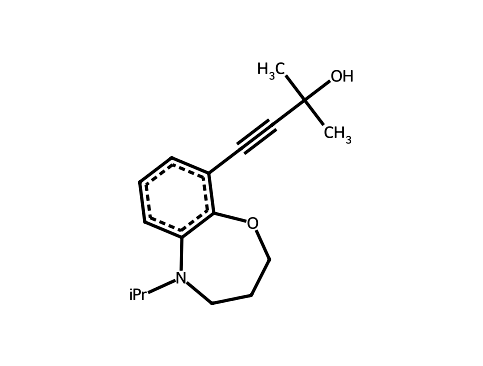 CC(C)N1CCCOc2c(C#CC(C)(C)O)cccc21